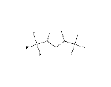 CC(C)(C)C1CCC(C(F)(F)F)C1